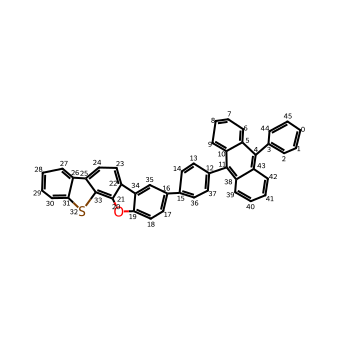 c1ccc(-c2c3ccccc3c(-c3ccc(-c4ccc5oc6c(ccc7c8ccccc8sc76)c5c4)cc3)c3ccccc23)cc1